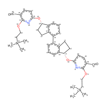 C[Si](C)(C)CCOc1nc(O[C@H]2CCc3c(-c4cccc5c4CC[C@@H]5Oc4ccc(C=O)c(OCC[Si](C)(C)C)n4)cccc32)ccc1C=O